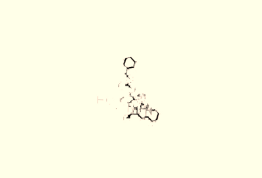 C[C@]1(COC(=O)OCc2ccccc2)[C@H](C(=O)O)N2C(=O)/C(=C/c3ccccn3)[C@H]2S1(=O)=O